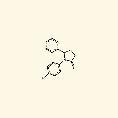 O=C1CSC(c2cccnc2)N1c1ccc(F)cc1